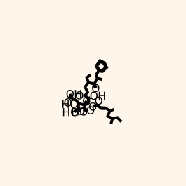 CCC(C)CC(C)C=CC(=O)OC1C(O)C2(CCC(CC)C(=O)C(C)Cc3ccccc3)OC(C(=O)O)C(O)(C(=O)O)C1(C(=O)O)O2